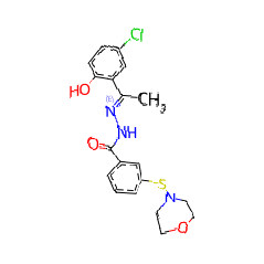 C/C(=N\NC(=O)c1cccc(SN2CCOCC2)c1)c1cc(Cl)ccc1O